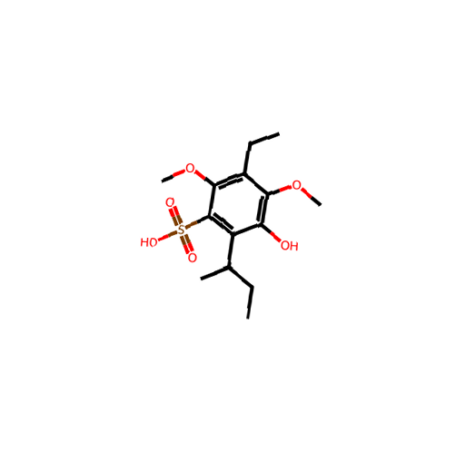 CCc1c(OC)c(O)c(C(C)CC)c(S(=O)(=O)O)c1OC